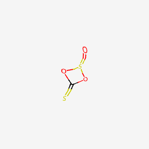 O=S1OC(=S)O1